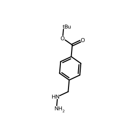 CC(C)(C)OC(=O)c1ccc(CNN)cc1